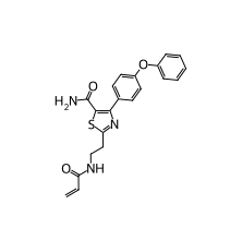 C=CC(=O)NCCc1nc(-c2ccc(Oc3ccccc3)cc2)c(C(N)=O)s1